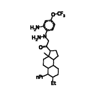 CCCC1C(CC)CCC2C1CCC1(C)C(C(=O)CN(N)c3ccc(OC(F)(F)F)cc3N)CCC21